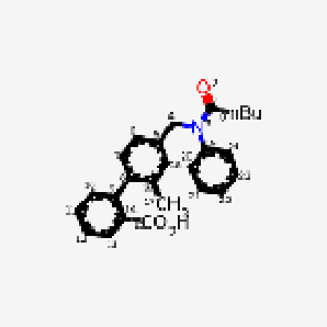 CCCCC(=O)N(Cc1ccc(-c2ccccc2C(=O)O)c(C)c1)c1ccccc1